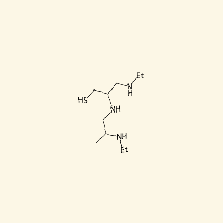 CCNCC(CS)NCC(C)NCC